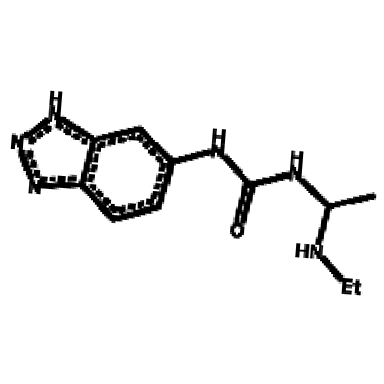 CCNC(C)NC(=O)Nc1ccc2nn[nH]c2c1